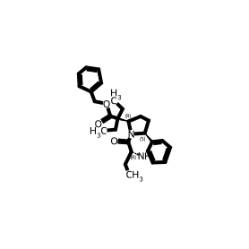 CC[C@@H](N)C(=O)N1[C@H](c2ccccc2)CC[C@@H]1C(CC)(CC)C(=O)OCc1ccccc1